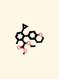 CCOC(C(=O)OC)c1c(C)ccc(C2CC2)c1-c1ccc2c(c1)CCCO2